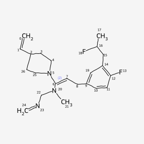 C=CC1CCN(/C(=C/Cc2ccc(F)c(CC(C)F)c2)N(C)CN=C)CC1